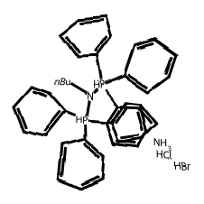 Br.CCCCN([PH](c1ccccc1)(c1ccccc1)c1ccccc1)[PH](c1ccccc1)(c1ccccc1)c1ccccc1.Cl.N